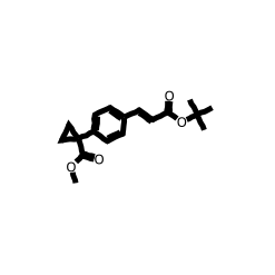 COC(=O)C1(c2ccc(C=CC(=O)OC(C)(C)C)cc2)CC1